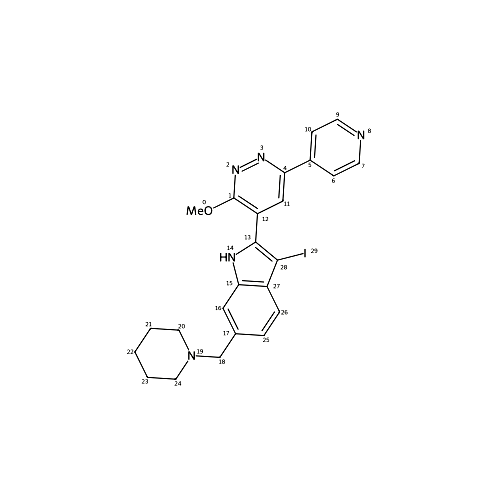 COc1nnc(-c2ccncc2)cc1-c1[nH]c2cc(CN3CCCCC3)ccc2c1I